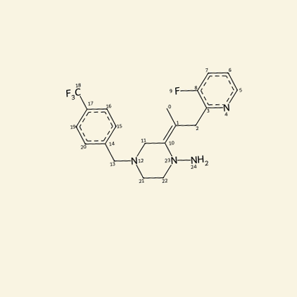 C/C(Cc1ncccc1F)=C1\CN(Cc2ccc(C(F)(F)F)cc2)CCN1N